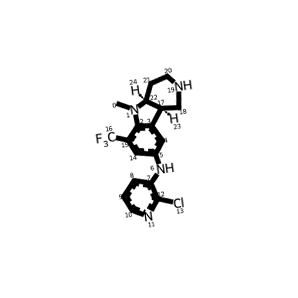 CN1c2c(cc(Nc3cccnc3Cl)cc2C(F)(F)F)[C@@H]2CNCC[C@@H]21